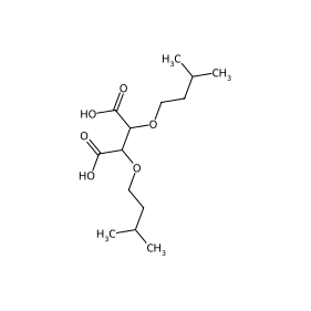 CC(C)CCOC(C(=O)O)C(OCCC(C)C)C(=O)O